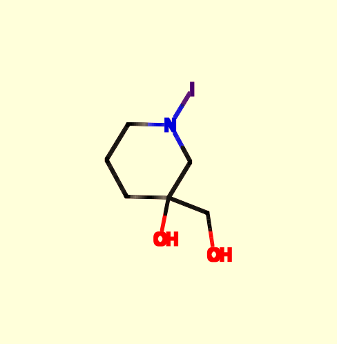 OCC1(O)CCCN(I)C1